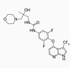 CC(O)(CNC(=O)Nc1cc(F)c(Oc2ccnc3[nH]cc(C(F)(F)F)c23)c(F)c1)CN1CCOCC1